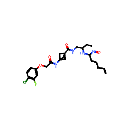 CCCCCC(N=O)NC(CC)CNC(=O)C12CC(NC(=O)COc3ccc(Cl)c(F)c3)(C1)C2